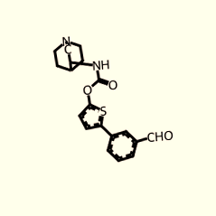 O=Cc1cccc(-c2ccc(OC(=O)NC3CN4CCC3CC4)s2)c1